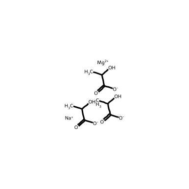 CC(O)C(=O)[O-].CC(O)C(=O)[O-].CC(O)C(=O)[O-].[Mg+2].[Na+]